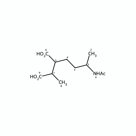 CC(=O)NC(C)CCC(C(=O)O)C(C)C(=O)O